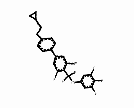 Fc1cc(OC(F)(F)c2c(F)cc(-c3ccc(CCC4CC4)cc3)cc2F)cc(F)c1F